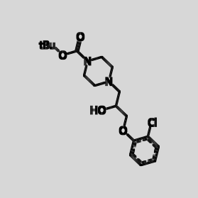 CC(C)(C)OC(=O)N1CCN(CC(O)COc2ccccc2Cl)CC1